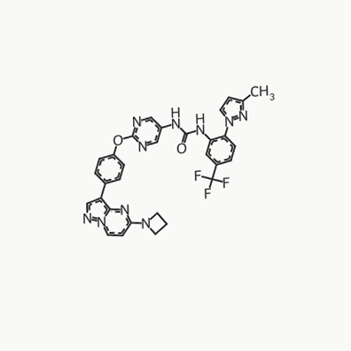 Cc1ccn(-c2ccc(C(F)(F)F)cc2NC(=O)Nc2cnc(Oc3ccc(-c4cnn5ccc(N6CCC6)nc45)cc3)nc2)n1